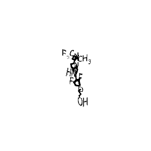 Cn1nc(C(F)(F)F)cc1-c1ccc2[nH]c(-c3c(F)cc(OCCCO)cc3F)cc2n1